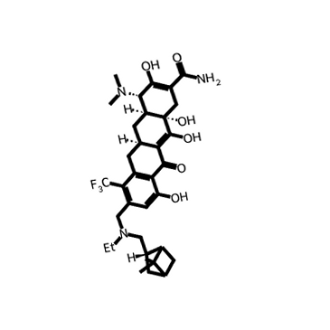 CCN(Cc1cc(O)c2c(c1C(F)(F)F)C[C@H]1C[C@H]3[C@H](N(C)C)C(O)=C(C(N)=O)C[C@@]3(O)C(O)=C1C2=O)C[C@H]1CC2CC1C2(C)C